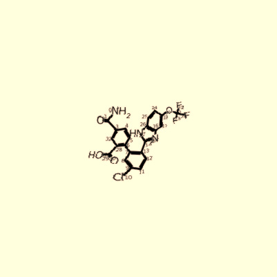 NC(=O)c1ccc(-c2cc(Cl)ccc2-c2nc3cc(OC(F)(F)F)ccc3[nH]2)c(C(=O)O)c1